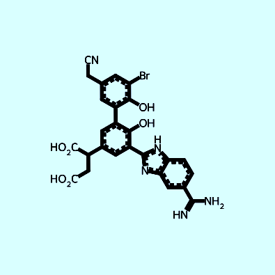 N#CCc1cc(Br)c(O)c(-c2cc(C(CC(=O)O)C(=O)O)cc(-c3nc4cc(C(=N)N)ccc4[nH]3)c2O)c1